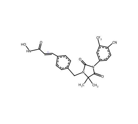 CC1(C)C(=O)N(c2ccc(C#N)c(C(F)(F)F)c2)C(=O)N1Cc1ccc(/C=C/C(=O)NO)cc1